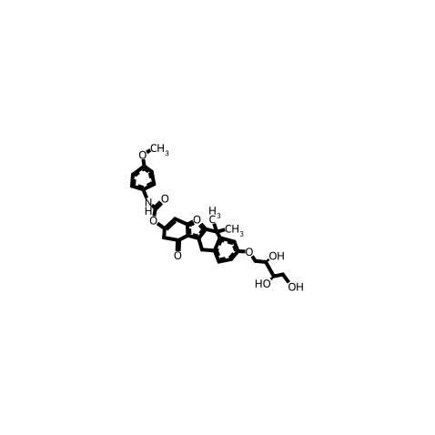 COc1ccc(NC(=O)OC2=Cc3oc4c(c3C(=O)C2)Cc2ccc(OC[C@@H](O)[C@H](O)CO)cc2C4(C)C)cc1